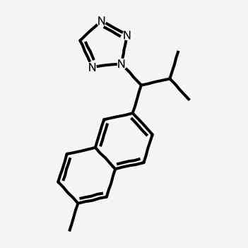 Cc1ccc2cc(C(C(C)C)n3ncnn3)ccc2c1